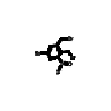 O=[N+]([O-])c1cc(Br)cc(CBr)c1CBr